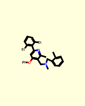 CCc1cccc(CC)c1-c1cc(OC(C)C)c(CN(C)Cc2ccccc2C)c(C)n1